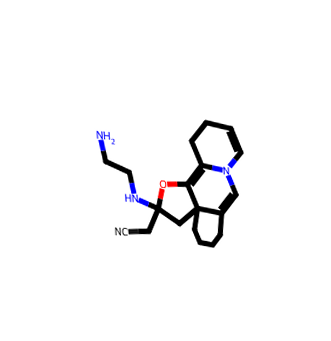 N#CCC1(NCCN)CC23CCCCC2=CN2C=CCCC2=C3O1